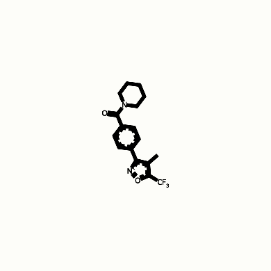 Cc1c(-c2ccc(C(=O)N3CCCCC3)cc2)noc1C(F)(F)F